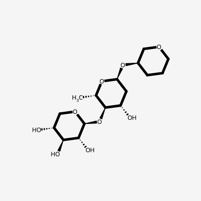 C[C@@H]1O[C@@H](O[C@@H]2CCCOC2)C[C@H](O)[C@H]1O[C@@H]1OC[C@@H](O)[C@H](O)[C@H]1O